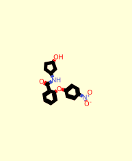 O=C(NC1CCC(O)C1)c1ccccc1Oc1ccc([N+](=O)[O-])cc1